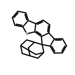 c1ccc2c(c1)-c1ccc3c(sc4ccccc43)c1C21C2CC3CC(C2)CC1C3